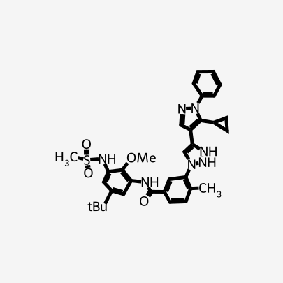 COc1c(NC(=O)c2ccc(C)c(N3C=C(c4cnn(-c5ccccc5)c4C4CC4)NN3)c2)cc(C(C)(C)C)cc1NS(C)(=O)=O